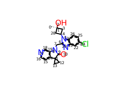 C[C@]1(O)C[C@@H](n2c(CN3C(=O)C4(CC4)c4ccncc43)nc3cc(Cl)ccc32)C1